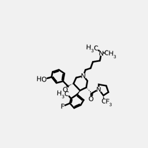 Cc1c(F)cccc1[C@@H]1[C@@H](C(=O)N2CCC[C@@H]2C(F)(F)F)CN(CCCCN(C)C)C[C@H]1C(=O)c1cccc(O)c1